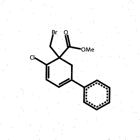 COC(=O)C1(CBr)CC(c2ccccc2)=CC=C1Cl